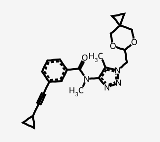 Cc1c(N(C)C(=O)c2cccc(C#CC3CC3)c2)nnn1CC1OCC2(CC2)CO1